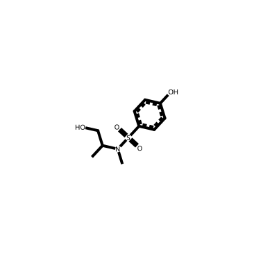 CC(CO)N(C)S(=O)(=O)c1ccc(O)cc1